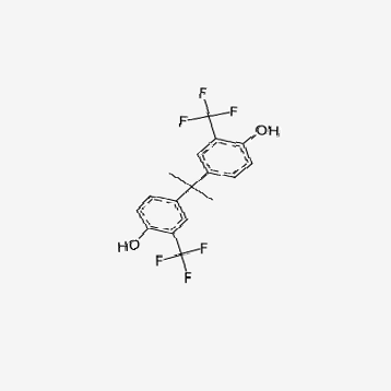 CC(C)(c1ccc(O)c(C(F)(F)F)c1)c1ccc(O)c(C(F)(F)F)c1